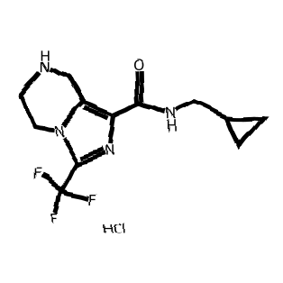 Cl.O=C(NCC1CC1)c1nc(C(F)(F)F)n2c1CNCC2